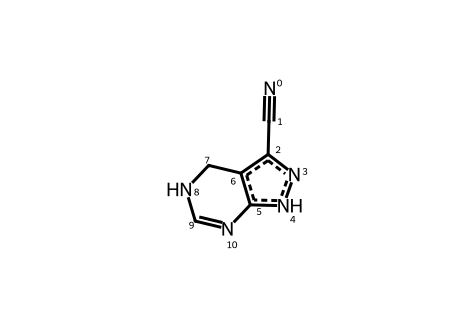 N#Cc1n[nH]c2c1CNC=N2